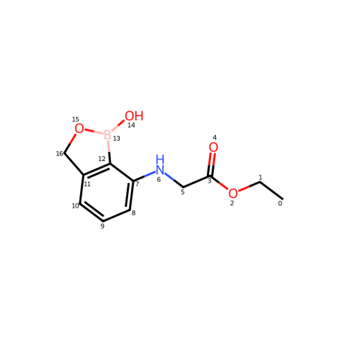 CCOC(=O)CNc1cccc2c1B(O)OC2